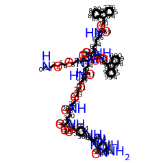 CNCCOCCOCCNC(=O)C(CCC(=O)NCCOCCOCCNC(=O)CCC(NC(=O)c1ccc(NCc2cnc3[nH]c(N)nc(=O)c3n2)cc1)C(=O)O)NC(=O)C(CCCCNC(=O)OCC1c2ccccc2-c2ccccc21)NC(=O)OCC1c2ccccc2-c2ccccc21